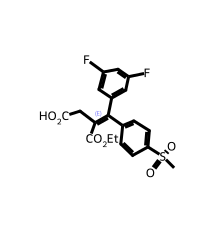 CCOC(=O)/C(CC(=O)O)=C(\c1ccc(S(C)(=O)=O)cc1)c1cc(F)cc(F)c1